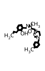 C=CCc1cccc(/C=N/N(C)C(=O)CN2CCN(Cc3ccc(C)cc3)CC2)c1O